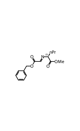 CCC[C@H](N=CC(=O)OCc1ccccc1)C(=O)OC